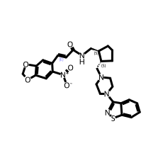 O=C(/C=C/c1cc2c(cc1[N+](=O)[O-])OCO2)NC[C@H]1CCC[C@@H]1CN1CCN(c2nsc3ccccc23)CC1